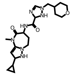 CN1C(=O)C(NC(=O)C2N=CN(CC3CCOCC3)N2)CCN2NC(C3CC3)C=C21